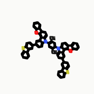 N#Cc1cc(-n2c3ccc(-c4ccc5sc6ccccc6c5c4)cc3c3c4oc5ccccc5c4ccc32)c(C#N)cc1-n1c2ccc(-c3ccc4sc5ccccc5c4c3)cc2c2c3oc4ccccc4c3ccc21